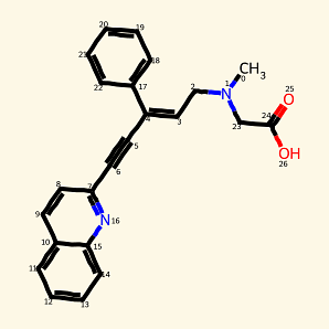 CN(CC=C(C#Cc1ccc2ccccc2n1)c1ccccc1)CC(=O)O